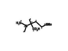 CSCCC(C)(C(=O)O)N(C)[SiH3]